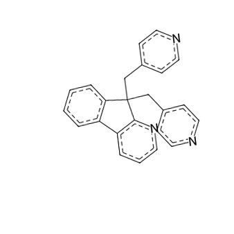 c1ccc2c(c1)-c1cccnc1C2(Cc1ccncc1)Cc1ccncc1